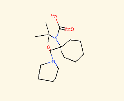 CC(C)(C)N(C(=O)O)C1(C(=O)N2CCCC2)CCCCC1